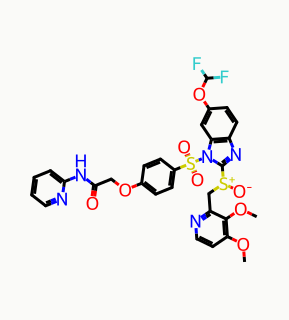 COc1ccnc(C[S+]([O-])c2nc3ccc(OC(F)F)cc3n2S(=O)(=O)c2ccc(OCC(=O)Nc3ccccn3)cc2)c1OC